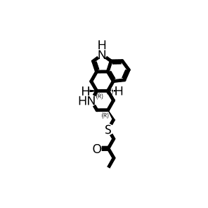 CCC(=O)CSC[C@H]1CN[C@@H]2Cc3c[nH]c4cccc(c34)[C@H]2C1